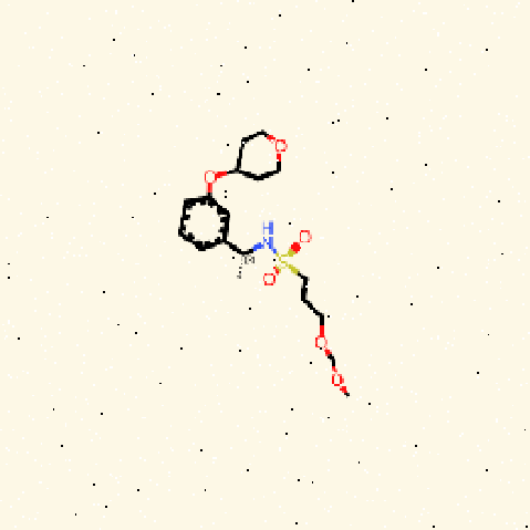 COCOCCCS(=O)(=O)N[C@H](C)c1cccc(OC2CCOCC2)c1